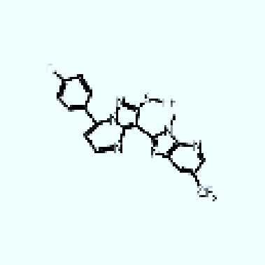 CCSc1nn2c(-c3ccc(F)cc3)ccnc2c1-c1nc2cc(C(F)(F)F)cnc2n1C